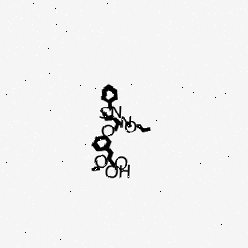 CCCO/N=C(\COc1cccc(CC(OCC)C(=O)O)c1)c1csc(-c2ccccc2)n1